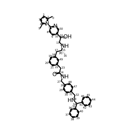 Cc1ccc(C)n1-c1ccc([C@@H](O)CN[C@H](C)Cc2cccc(CC(=O)NCc3ccc(CNC(c4ccccc4)c4ccccc4)cc3)c2)cn1